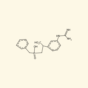 N=C(N)Nc1cccc(C(CP(=O)(O)Cc2ccccc2)C(=O)O)c1